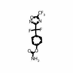 NC(=O)Oc1ccc(C(F)(F)c2noc(C(F)(F)F)n2)cc1